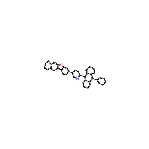 c1ccc(-c2c3ccccc3c(-c3ccc(-c4ccc5c(c4)oc4cc6ccccc6cc45)cn3)c3ccccc23)cc1